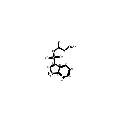 COCC(C)NS(=O)(=O)c1n[nH]c2ncccc12